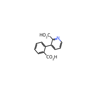 O=C(O)c1ccccc1-c1cccnc1C(=O)O